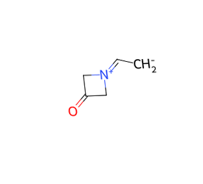 [CH2-]C=[N+]1CC(=O)C1